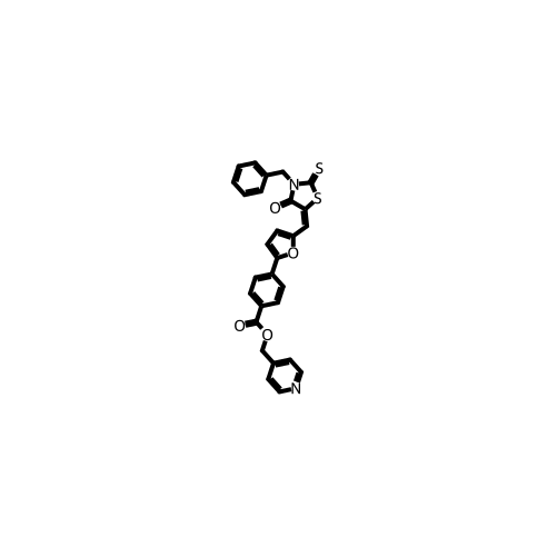 O=C(OCc1ccncc1)c1ccc(-c2ccc(/C=C3/SC(=S)N(Cc4ccccc4)C3=O)o2)cc1